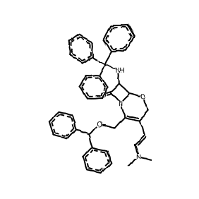 CN(C)C=CC1=C(COC(c2ccccc2)c2ccccc2)N2C(=O)C(NC(c3ccccc3)(c3ccccc3)c3ccccc3)C2OC1